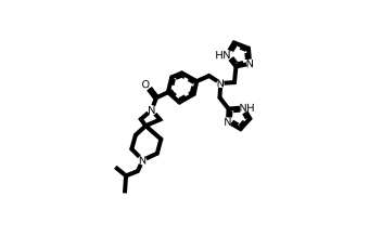 CC(C)CN1CCC2(CC1)CN(C(=O)c1ccc(CN(Cc3ncc[nH]3)Cc3ncc[nH]3)cc1)C2